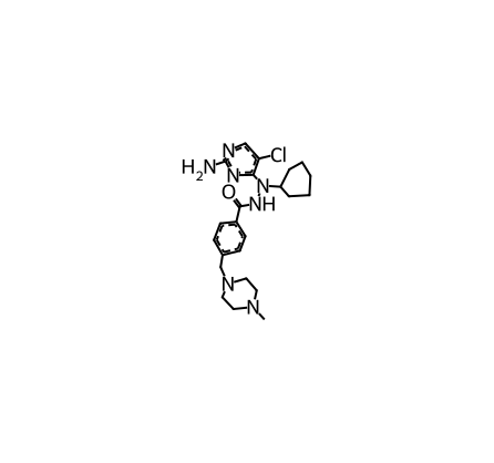 CN1CCN(Cc2ccc(C(=O)NN(c3nc(N)ncc3Cl)C3CCCCC3)cc2)CC1